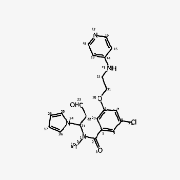 CC(C)N(C(=O)c1cc(Cl)cc(OCCNc2ccncc2)c1)C(CC=O)n1cccc1